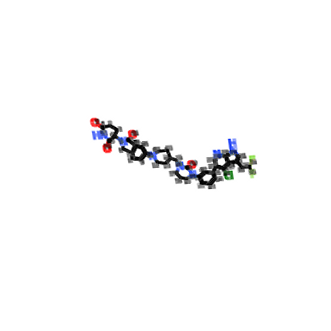 O=C1CCC(N2Cc3ccc(N4CCC(CN5CCCN(c6cccc(-c7cnc8[nH]cc(CC(F)F)c8c7Cl)c6)C5=O)CC4)cc3C2=O)C(=O)N1